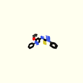 CCCOc1cc(=NC(=S)Nc2ccccc2)cnn1C1C=CCC=C1